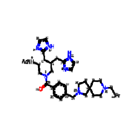 CC(=O)NCCN(CC(Cc1ncc[nH]1)Cc1ncc[nH]1)C(=O)c1ccc(CN2CCC3(CCN(CC(C)C)CC3)C2)cc1